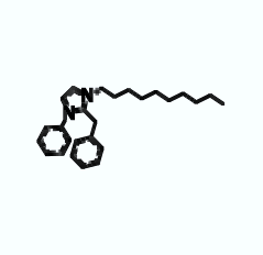 CCCCCCCCCC[n+]1ccn(-c2ccccc2)c1Cc1ccccc1